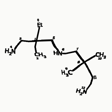 CCC(C)(CN)CNCC(C)(C)CN